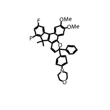 COc1cc2c3c(c4c(c2cc1OC)-c1cc(F)cc(F)c1C4(C)C)C=CC(c1ccccc1)(c1ccc(N2CCOCC2)cc1)O3